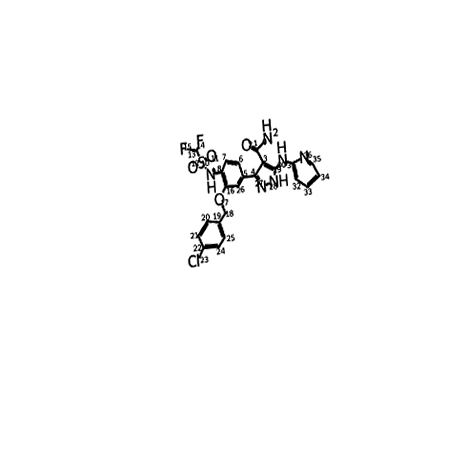 NC(=O)c1c(-c2ccc(NS(=O)(=O)C(F)F)c(OCc3ccc(Cl)cc3)c2)n[nH]c1Nc1ccccn1